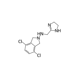 Clc1ccc(Cl)c2c1CN(NCC1=NCCN1)C2